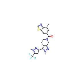 Cc1cc(C(=O)N2CCc3c(nn(C)c3-c3cc(C(F)(F)F)n(C)n3)C2)cc2scnc12